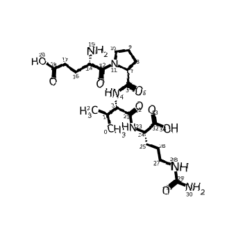 CC(C)[C@H](NC(=O)[C@@H]1CCCN1C(=O)[C@@H](N)CCC(=O)O)C(=O)N[C@@H](CCCNC(N)=O)C(=O)O